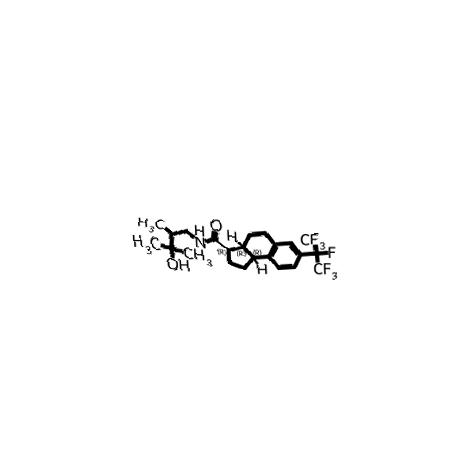 CC(CNC(=O)[C@@H]1CC[C@H]2c3ccc(C(F)(C(F)(F)F)C(F)(F)F)cc3CC[C@@H]12)C(C)(C)O